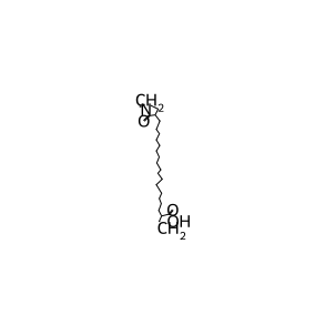 C=CC(CCCCCCCCCCCCCCCCC1CCN(C=C)C1=O)C(=O)O